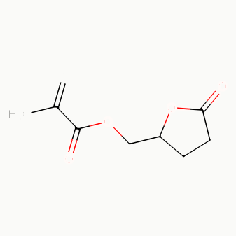 C=C(C)C(=O)OCC1CCC(=O)O1